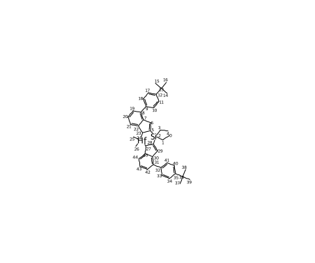 CC[Si]1(CC)C2=Cc3c(-c4ccc(C(C)(C)C)cc4)cccc3[CH]2[Hf]([CH3])([CH3])[CH]2C1=Cc1c(-c3ccc(C(C)(C)C)cc3)cccc12